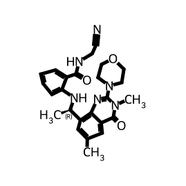 Cc1cc([C@@H](C)Nc2ccccc2C(=O)NCC#N)c2nc(N3CCOCC3)n(C)c(=O)c2c1